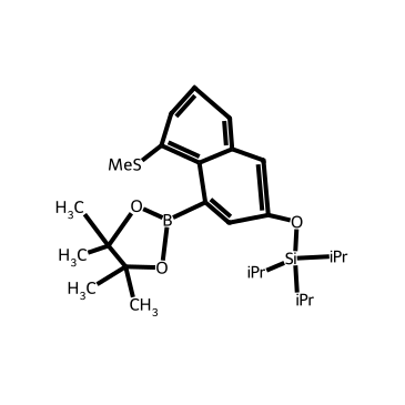 CSc1cccc2cc(O[Si](C(C)C)(C(C)C)C(C)C)cc(B3OC(C)(C)C(C)(C)O3)c12